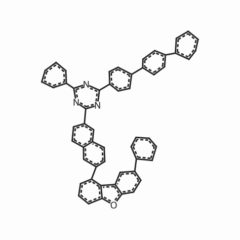 c1ccc(-c2ccc(-c3ccc(-c4nc(-c5ccccc5)nc(-c5ccc6cc(-c7cccc8oc9ccc(-c%10ccccc%10)cc9c78)ccc6c5)n4)cc3)cc2)cc1